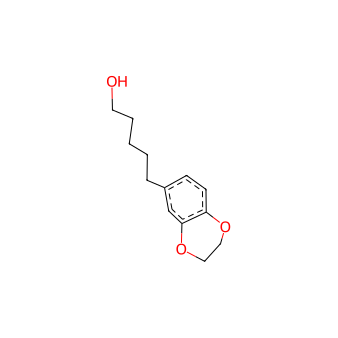 OCCCCCc1ccc2c(c1)OCCO2